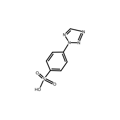 O=S(=O)(O)c1ccc(-n2ncnn2)cc1